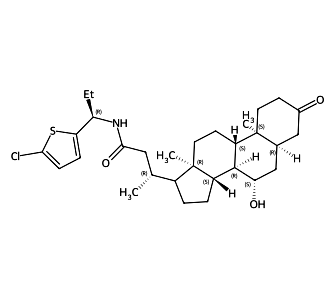 CC[C@@H](NC(=O)C[C@@H](C)C1CC[C@H]2[C@@H]3[C@@H](O)C[C@@H]4CC(=O)CC[C@]4(C)[C@H]3CC[C@]12C)c1ccc(Cl)s1